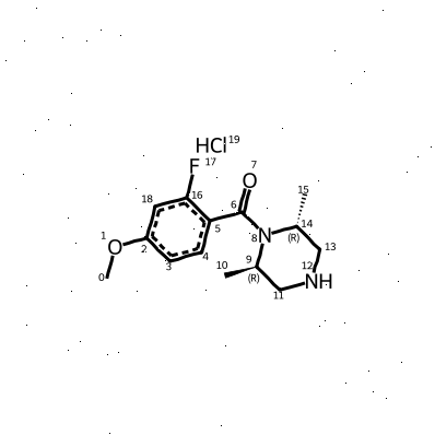 COc1ccc(C(=O)N2[C@H](C)CNC[C@H]2C)c(F)c1.Cl